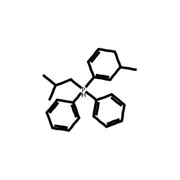 CC(C)C[PH](C1=CC(C)CC=C1)(c1ccccc1)c1ccccc1